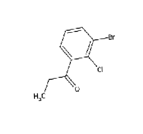 CCC(=O)c1cccc(Br)c1Cl